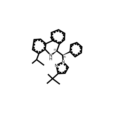 CC(C)c1cccc(C(C)C)c1N[C@@H](c1ccccc1)[C@@H](c1ccccc1)n1ccc(C(C)(C)C)n1